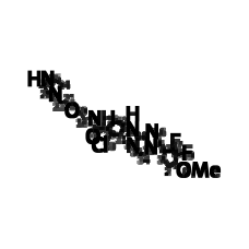 COc1ccc(-c2cnc3c(Nc4ccc(C(=O)NCCOCCN5CCNCC5)c(Cl)c4)nccn23)c(F)c1F